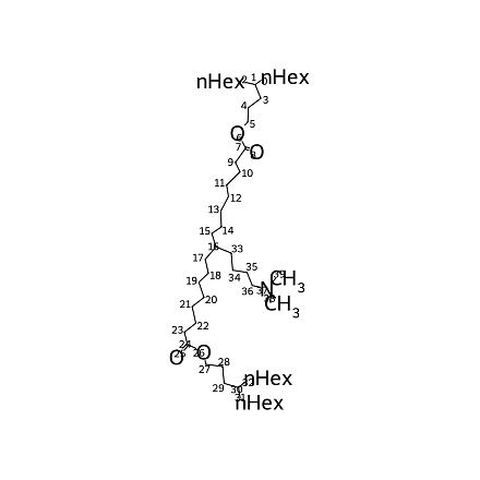 CCCCCCC(CCCCCC)CCCOC(=O)CCCCCCCC(CCCCCCCC(=O)OCCCC(CCCCCC)CCCCCC)CCCCN(C)C